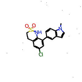 Cn1ccc2cc(-c3cc(Cl)cc4c3NS(=O)(=O)CC4)ccc21